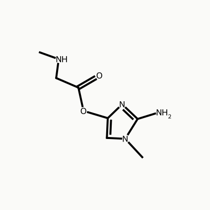 CNCC(=O)Oc1cn(C)c(N)n1